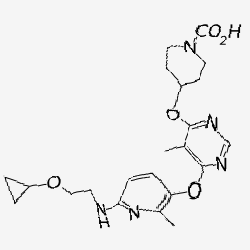 Cc1nc(NCCOC2CC2)ccc1Oc1ncnc(OC2CCN(C(=O)O)CC2)c1C